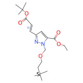 CCOC(=O)c1cc(/C=C/C(=O)OC(C)(C)C)nn1COCC[Si](C)(C)C